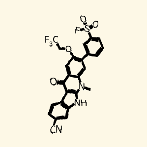 Cn1c2cc(-c3cccc(S(=O)(=O)F)c3)c(OCC(F)(F)F)cc2c(=O)c2c3ccc(C#N)cc3[nH]c21